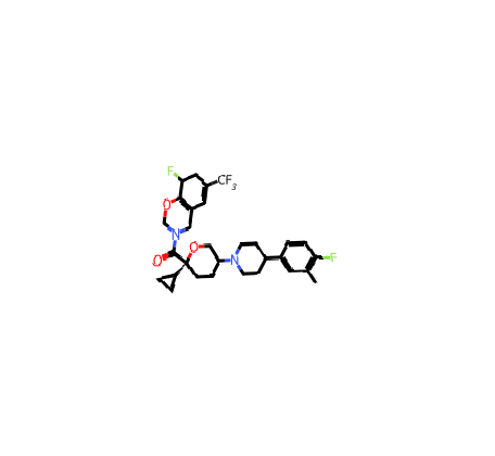 Cc1cc(C2CCN(C3CC[C@@](C(=O)N4COC5=C(C=C(C(F)(F)F)CC5F)C4)(C4CC4)OC3)CC2)ccc1F